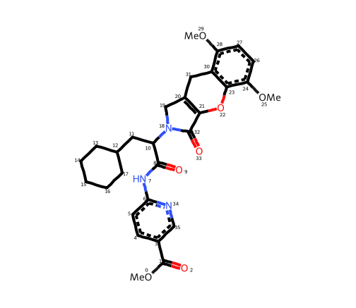 COC(=O)c1ccc(NC(=O)C(CC2CCCCC2)N2CC3=C(Oc4c(OC)ccc(OC)c4C3)C2=O)nc1